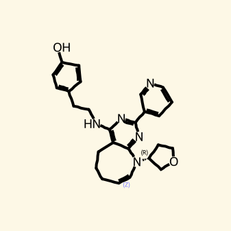 Oc1ccc(CCNc2nc(-c3cccnc3)nc3c2CCC/C=C\N3[C@@H]2CCOC2)cc1